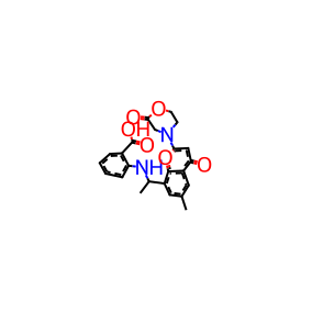 Cc1cc(C(C)Nc2ccccc2C(=O)O)c2oc(N3CCOC(=O)C3)cc(=O)c2c1